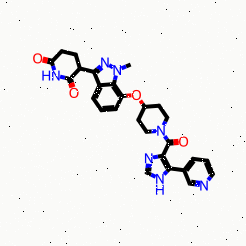 Cn1nc(C2CCC(=O)NC2=O)c2cccc(OC3CCN(C(=O)c4nc[nH]c4-c4cccnc4)CC3)c21